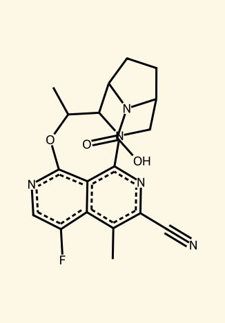 Cc1c(C#N)nc2c3c(ncc(F)c13)OC(C)C1C3CCC(CN21)N3C(=O)O